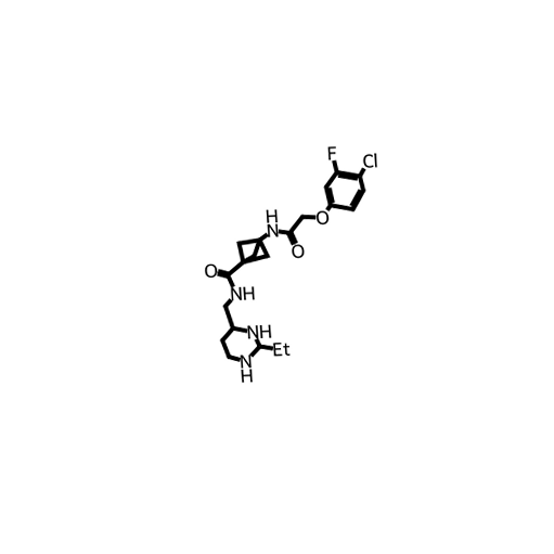 CCC1NCCC(CNC(=O)C23CC(NC(=O)COc4ccc(Cl)c(F)c4)(C2)C3)N1